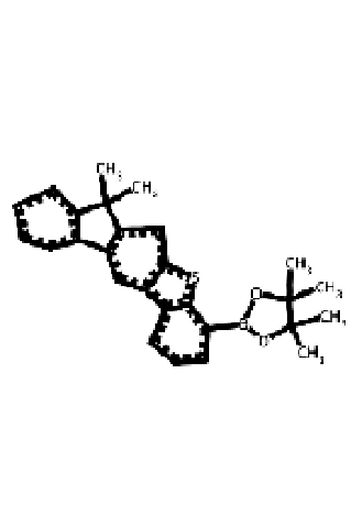 CC1(C)c2ccccc2-c2cc3c(cc21)sc1c(B2OC(C)(C)C(C)(C)O2)cccc13